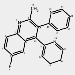 Cc1nc2ccc(F)cc2c(C2=CCCC=N2)c1-c1ccccn1